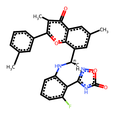 Cc1cccc(-c2oc3c([C@@H](C)Nc4cccc(F)c4-c4noc(=O)[nH]4)cc(C)cc3c(=O)c2C)c1